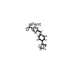 CCCCCC(=O)N1CCC(=Cc2ccc(C3=NCCO3)cc2)CC1